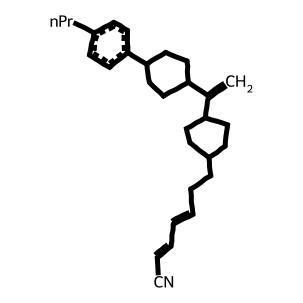 C=C(C1CCC(CCC=CC=CC#N)CC1)C1CCC(c2ccc(CCC)cc2)CC1